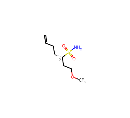 C=CCC[C@@H](CCOC(F)(F)F)S(N)(=O)=O